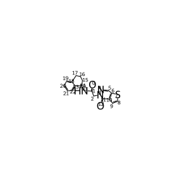 O=C(Cn1ncc2sccc2c1=O)N[C@H]1CCCc2ccccc21